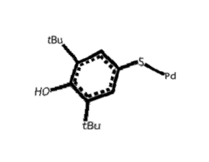 CC(C)(C)c1cc([S][Pd])cc(C(C)(C)C)c1O